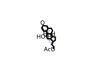 CC(=O)OC/C=C1\CC[C@H]2[C@@H]3CCC4=CC(=O)C=C[C@]4(C)[C@H]3[C@@H](O)C[C@]12C